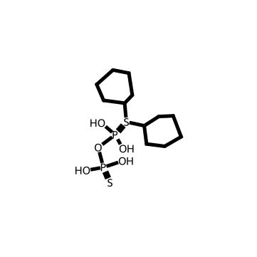 OP(O)(=S)OP(O)(O)=S(C1CCCCC1)C1CCCCC1